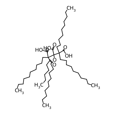 CCCCCCCCCCOC(C(=O)O)(C(CCCCCCCCCC)(CCCCCCCCCC)C(=O)O)C(CCCCCCCCCC)(C(=O)O)C(=O)CCCCC